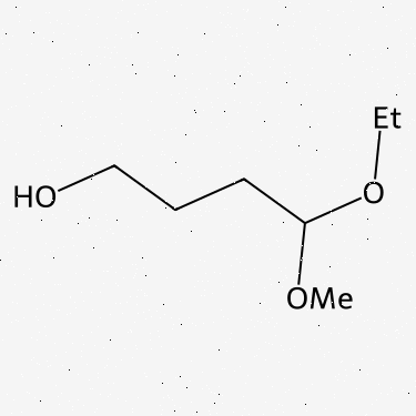 CCOC(CCCO)OC